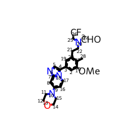 COc1cc(-c2cnc3cc(N4CCOCC4)ccn23)cc(CCN(C=O)CC(F)(F)F)c1C